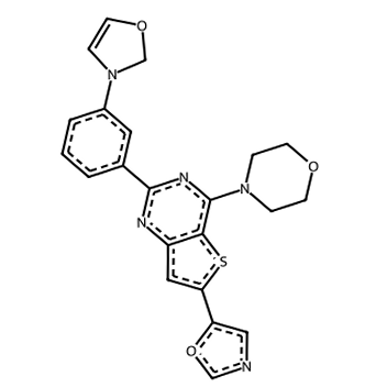 C1=CN(c2cccc(-c3nc(N4CCOCC4)c4sc(-c5cnco5)cc4n3)c2)CO1